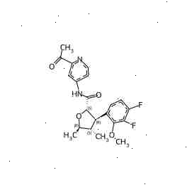 COc1c([C@H]2[C@H](C)[C@@H](C)O[C@@H]2C(=O)Nc2ccnc(C(C)=O)c2)ccc(F)c1F